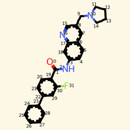 O=C(Nc1ccc2cc(CN3CCCC3)cnc2c1)c1ccc(-c2ccccc2)cc1F